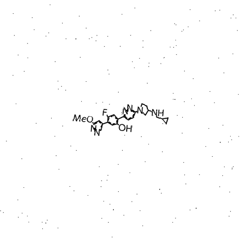 COc1cc(-c2cc(O)c(-c3ccc(N4CCC(NCC5CC5)C4)nn3)cc2F)cnn1